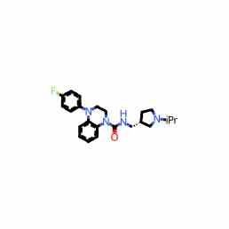 CC(C)N1CC[C@@H](CNC(=O)N2CCN(c3ccc(F)cc3)c3ccccc32)C1